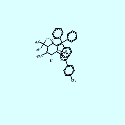 CCCC(C)(C)[C@@H](C(=O)C(C#N)=P(c1ccccc1)(c1ccccc1)c1ccccc1)N(C(=O)O)[C@@H](CC)Cc1nnc(-c2ccc(C(F)(F)F)cc2)o1